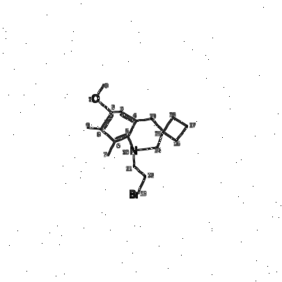 COc1cc2c(c(C)c1C)N(CCBr)CC1(CCC1)C2